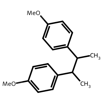 COc1ccc(C(C)C(C)c2ccc(OC)cc2)cc1